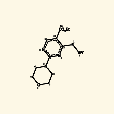 CCCSc1nc(N2CCOCC2)ncc1C(=O)OCC